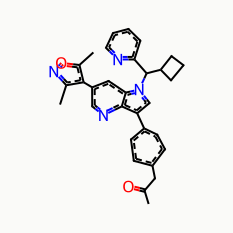 CC(=O)Cc1ccc(-c2cn(C(c3ccccn3)C3CCC3)c3cc(-c4c(C)noc4C)cnc23)cc1